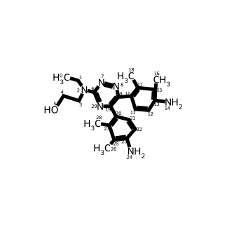 CCN(CCO)c1nnc(-c2ccc(N)c(C)c2C)c(-c2ccc(N)c(C)c2C)n1